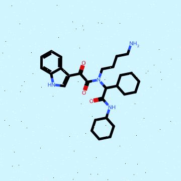 NCCCCN(C(=O)C(=O)c1c[nH]c2ccccc12)C(C(=O)NC1CCCCC1)C1CCCCC1